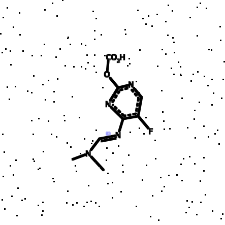 CN(C)/C=N/c1nc(OC(=O)O)ncc1F